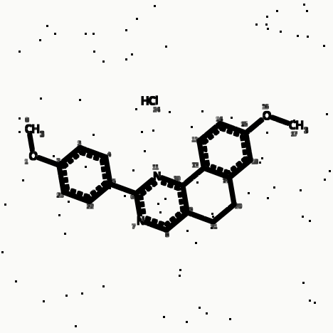 COc1ccc(-c2ncc3c(n2)-c2ccc(OC)cc2CC3)cc1.Cl